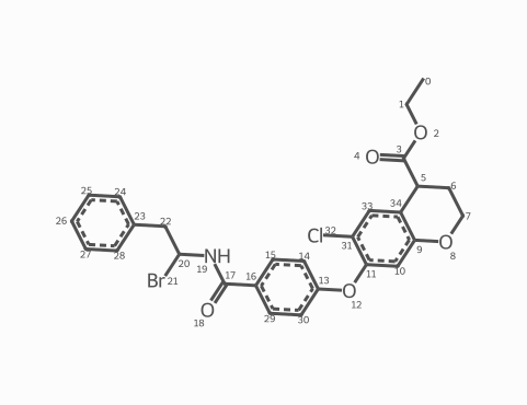 CCOC(=O)C1CCOc2cc(Oc3ccc(C(=O)NC(Br)Cc4ccccc4)cc3)c(Cl)cc21